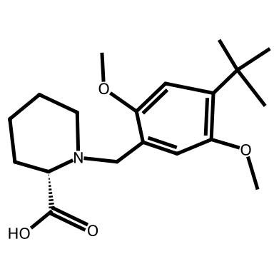 COc1cc(C(C)(C)C)c(OC)cc1CN1CCCC[C@H]1C(=O)O